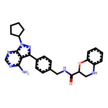 Nc1ncnc2c1c(-c1ccc(CNC(=O)C3CNc4ccccc4O3)cc1)nn2C1CCCC1